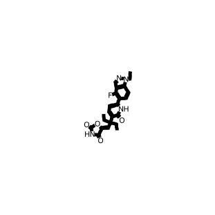 CCn1ncc2c(F)c(-c3ccc(C(C=C4OC(=O)NC4=O)(CC)CC)c(=O)[nH]3)ccc21